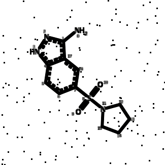 Nc1n[nH]c2ccc(S(=O)(=O)N3CCCC3)cc12